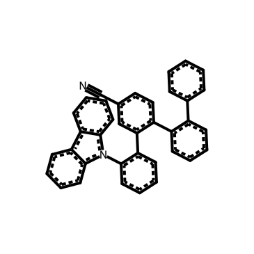 N#Cc1ccc(-c2ccccc2-c2ccccc2)c(-c2ccccc2-n2c3ccccc3c3ccccc32)c1